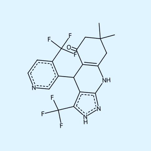 CC1(C)CC(=O)C2=C(C1)Nc1n[nH]c(C(F)(F)F)c1C2c1cnccc1C(F)(F)F